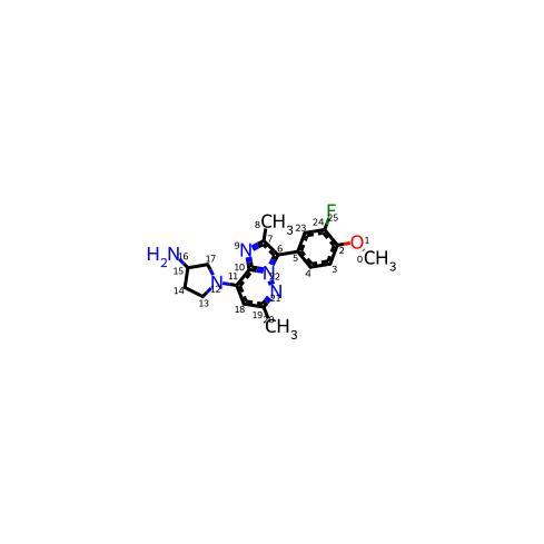 COc1ccc(-c2c(C)nc3c(N4CCC(N)C4)cc(C)nn23)cc1F